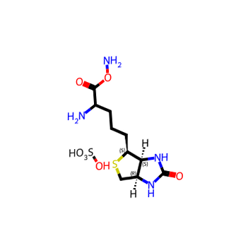 NOC(=O)C(N)CCC[C@@H]1SC[C@@H]2NC(=O)N[C@@H]21.O=S(=O)(O)O